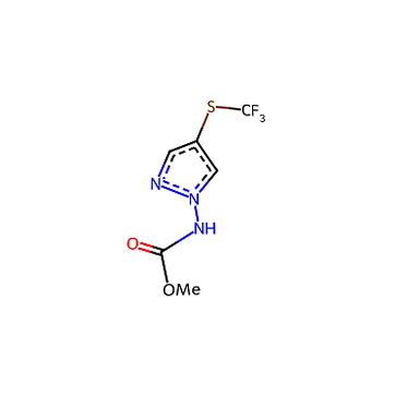 COC(=O)Nn1cc(SC(F)(F)F)cn1